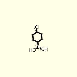 OB(O)C1CCC(Cl)CC1